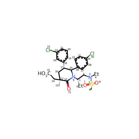 CC[C@@H](CN(CC)S(C)(=O)=O)N1C(=O)[C@@](C)(CC(=O)O)C[C@H](c2cccc(Cl)c2)C1c1ccc(Cl)cc1